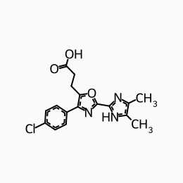 Cc1nc(-c2nc(-c3ccc(Cl)cc3)c(CCC(=O)O)o2)[nH]c1C